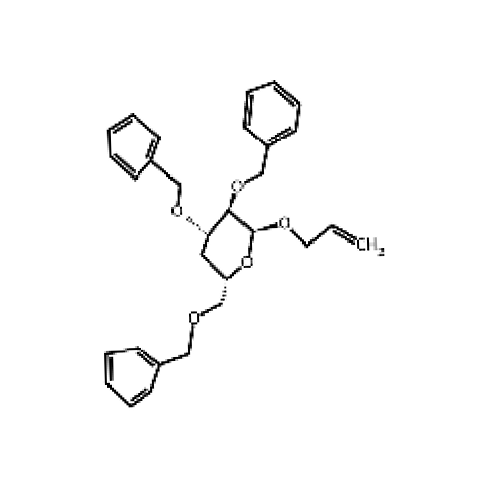 C=CCO[C@H]1O[C@H](COCc2ccccc2)C[C@H](OCc2ccccc2)[C@H]1OCc1ccccc1